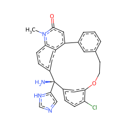 Cn1c(=O)cc2c3cc(ccc31)[C@@](N)(c1cnc[nH]1)c1ccc(Cl)c(c1)OCCc1cccc-2c1